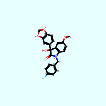 COc1ccc2c(c1)C(O)(c1ccc3c(c1)OCO3)C(=O)N2Cc1ccc(F)cc1